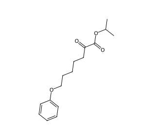 CC(C)OC(=O)C(=O)CCCCCOc1ccccc1